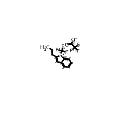 CCCc1cc2ccccc2[s+]1C(F)(F)F.O=C([O-])C(F)(F)F